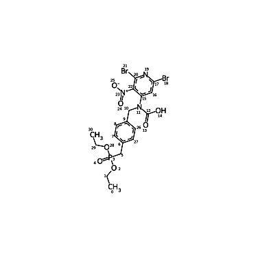 CCOP(=O)(Cc1ccc(CN(C(=O)O)c2cc(Br)nc(Br)c2[N+](=O)[O-])cc1)OCC